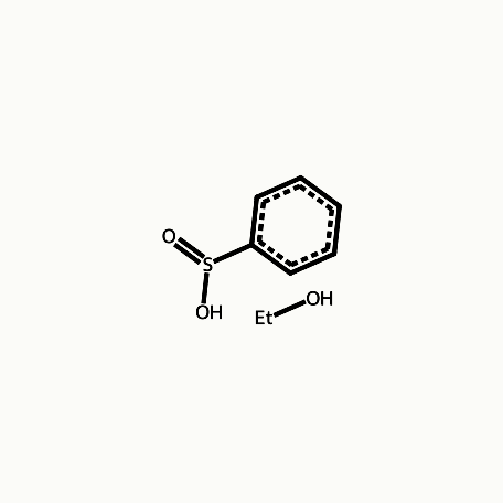 CCO.O=S(O)c1ccccc1